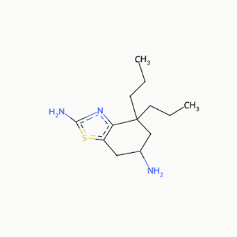 CCCC1(CCC)CC(N)Cc2sc(N)nc21